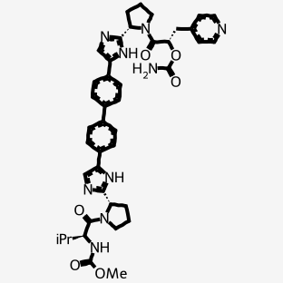 COC(=O)N[C@H](C(=O)N1CCC[C@H]1c1ncc(-c2ccc(-c3ccc(-c4cnc([C@@H]5CCCN5C(=O)[C@H](Cc5ccncc5)OC(N)=O)[nH]4)cc3)cc2)[nH]1)C(C)C